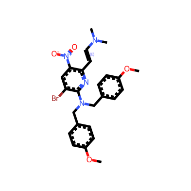 COc1ccc(CN(Cc2ccc(OC)cc2)c2nc(/C=C/N(C)C)c([N+](=O)[O-])cc2Br)cc1